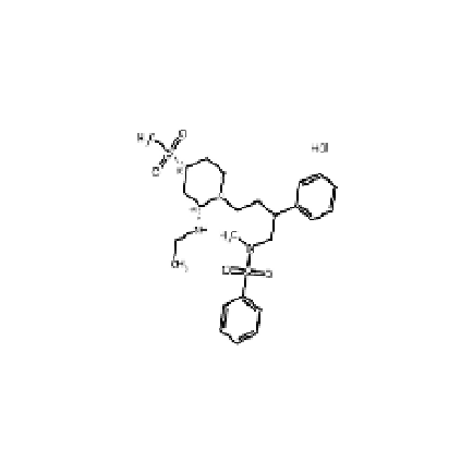 CCN[C@@H]1C[C@H](S(C)(=O)=O)CCN1CCC(CN(C)S(=O)(=O)c1ccccc1)c1ccccc1.Cl